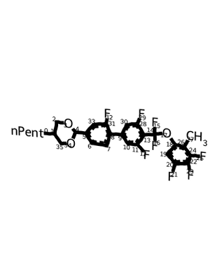 CCCCCC1COC(c2ccc(-c3cc(F)c(C(F)(F)Oc4cc(F)c(F)c(F)c4C)c(F)c3)c(F)c2)OC1